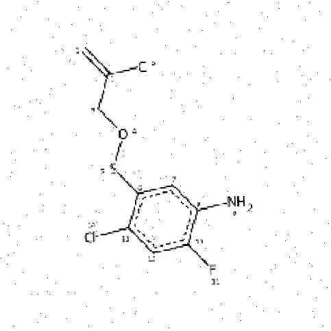 C=C(Cl)COSc1cc(N)c(F)cc1Cl